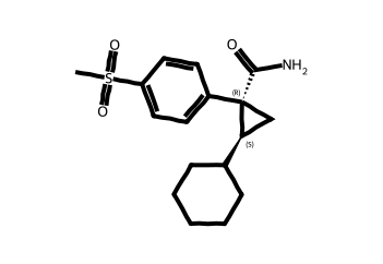 CS(=O)(=O)c1ccc([C@@]2(C(N)=O)C[C@H]2C2CCCCC2)cc1